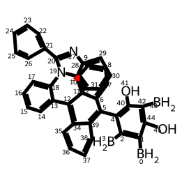 Bc1c(B)c(-c2c3ccccc3c(-c3ccccc3-n3c(-c4ccccc4)nc4ccccc43)c3ccccc23)c(O)c(B)c1O